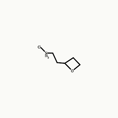 Cl[SiH2]CCC1CCO1